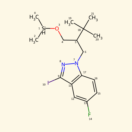 C[SiH](C)OCC(Cn1nc(I)c2cc(F)ccc21)C(C)(C)C